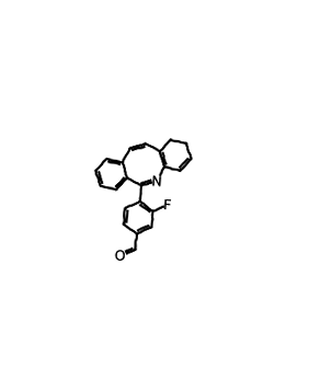 O=Cc1ccc(/C2=N/C3=C(/C=C\c4ccccc42)CCC=C3)c(F)c1